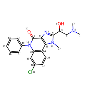 CN(C)CC(O)c1nc2c(=O)n(-c3ccccc3)c3cc(Cl)ccc3c2n1C